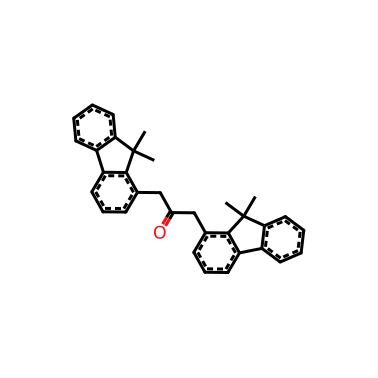 CC1(C)c2ccccc2-c2cccc(CC(=O)Cc3cccc4c3C(C)(C)c3ccccc3-4)c21